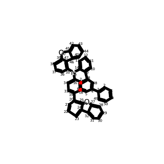 c1ccc(-c2cccc(-c3ccccc3N(c3ccc(-c4cccc5c4oc4ccccc45)cc3)c3cccc4oc5ccccc5c34)c2)cc1